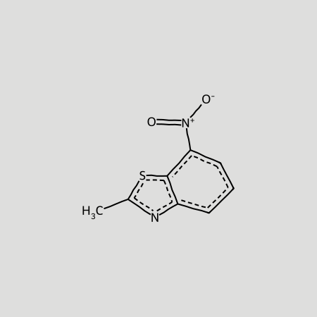 Cc1nc2cccc([N+](=O)[O-])c2s1